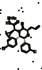 C=CC[C@H]1O[C@H](c2cccc(Cl)c2)[C@H](c2ccc(Cl)cc2)N([C@H](C(=O)NNC(C)=O)C2CC2)C1=O